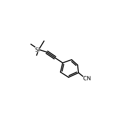 C[Si](C)(C)C#Cc1ccc(C#N)cc1